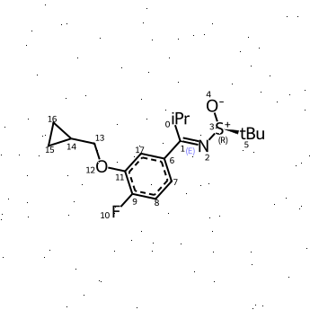 CC(C)/C(=N\[S@@+]([O-])C(C)(C)C)c1ccc(F)c(OCC2CC2)c1